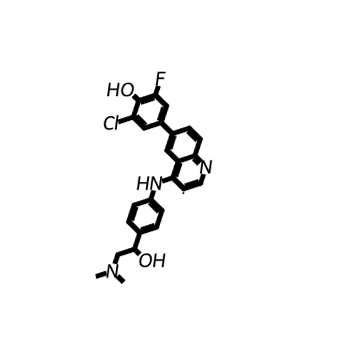 CN(C)CC(O)c1ccc(Nc2[c]cnc3ccc(-c4cc(F)c(O)c(Cl)c4)cc23)cc1